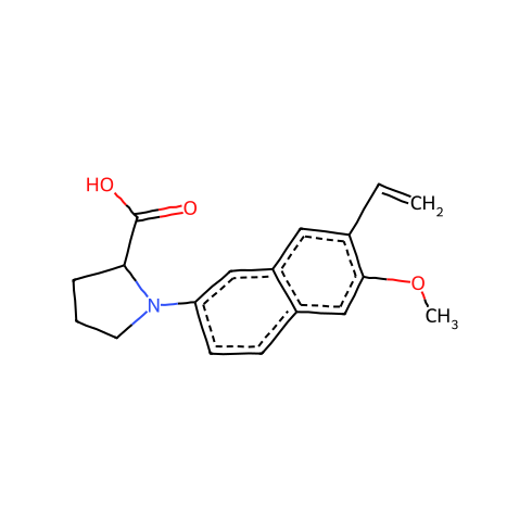 C=Cc1cc2cc(N3CCCC3C(=O)O)ccc2cc1OC